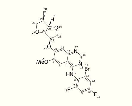 COc1cc2c(Nc3c(F)cc(F)cc3Br)ncnc2cc1O[C@@H]1CO[C@@H]2C1OC[C@H]2F